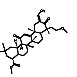 COCC[C@]1(C)C(=O)/C(=C\O)C[C@]2(C)C3=CC(=O)[C@@H]4[C@@H]5CC(C)(C)C[C@@H](C(=O)OC)C5CC[C@@]4(C)[C@]3(C)CCC12